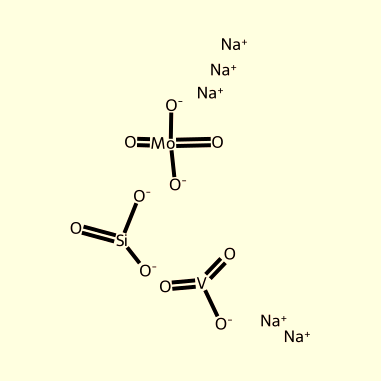 O=[Si]([O-])[O-].[Na+].[Na+].[Na+].[Na+].[Na+].[O]=[Mo](=[O])([O-])[O-].[O]=[V](=[O])[O-]